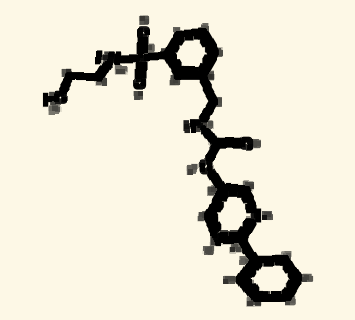 O=C(NCc1cccc(S(=O)(=O)NCCO)c1)Oc1cnc(-c2ccccc2)nc1